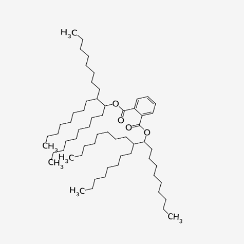 CCCCCCCCCC(OC(=O)c1ccccc1C(=O)OC(CCCCCCCCC)C(CCCCCCCC)CCCCCCCC)C(CCCCCCCC)CCCCCCCC